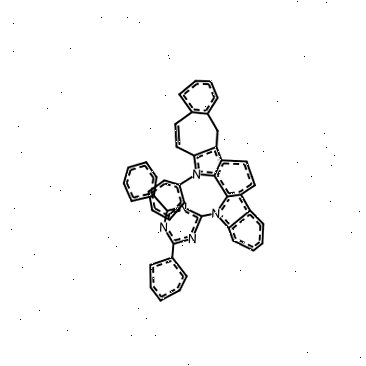 C1=Cc2c(c3ccc4c5ccccc5n(-c5nc(-c6ccccc6)nc(-c6ccccc6)n5)c4c3n2-c2ccccc2)Cc2ccccc21